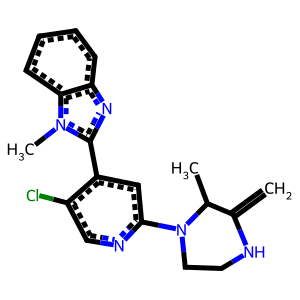 C=C1NCCN(c2cc(-c3nc4ccccc4n3C)c(Cl)cn2)C1C